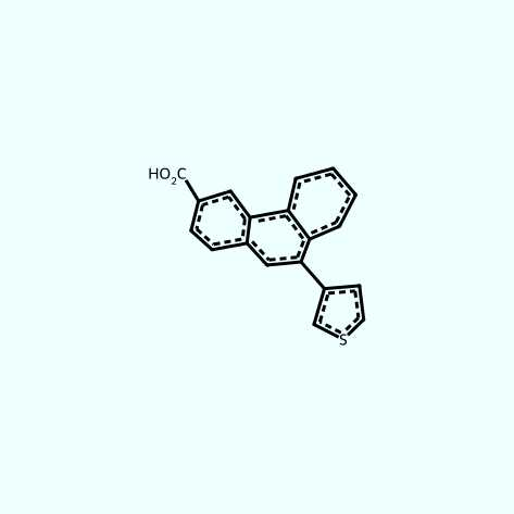 O=C(O)c1ccc2cc(-c3ccsc3)c3ccccc3c2c1